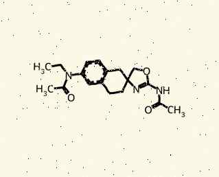 CCN(C(C)=O)c1ccc2c(c1)CCC1(COC(NC(C)=O)=N1)C2